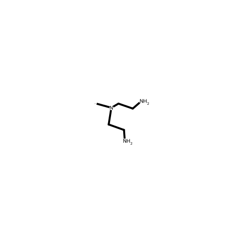 [CH2]N(CCN)CCN